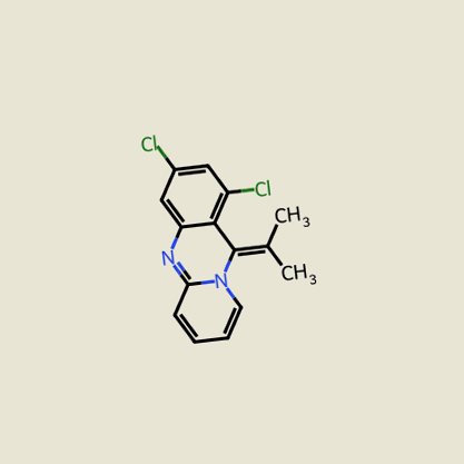 CC(C)=C1c2c(Cl)cc(Cl)cc2N=C2C=CC=CN21